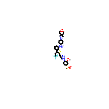 COC1=CC([S+](C)[O-])CCC1NCC#Cc1sc2c(NC3CCC(N4CC5(CCOCC5)C4)CC3)cccc2c1CC(F)(F)F